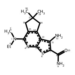 CCN(C)c1nc2sc(C(N)=O)c(N)c2c2c1CC(C)(C)C2